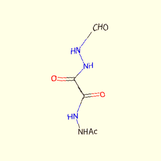 CC(=O)NNC(=O)C(=O)NNC=O